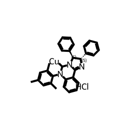 Cc1cc(C)c(N2c3ccccc3C3=N[C@@H](c4ccccc4)[C@H](c4ccccc4)N3[CH]2[Cu])c(C)c1.Cl